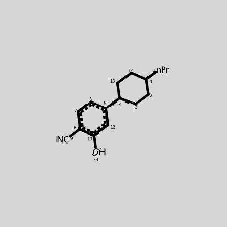 CCCC1CCC(c2ccc(C#N)c(O)c2)CC1